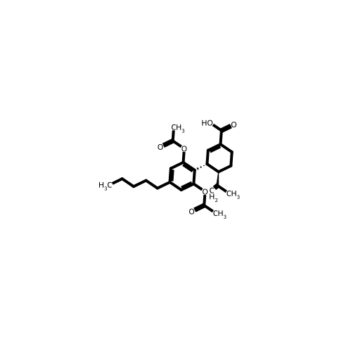 C=C(C)[C@@H]1CCC(C(=O)O)=C[C@H]1c1c(OC(C)=O)cc(CCCCC)cc1OC(C)=O